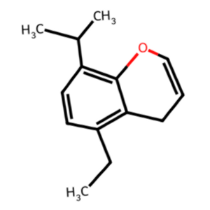 CCc1ccc(C(C)C)c2c1CC=CO2